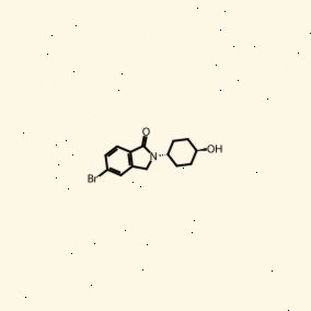 O=C1c2ccc(Br)cc2CN1[C@H]1CC[C@H](O)CC1